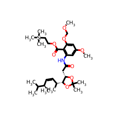 COCOc1cc(OC)cc(NC(=O)C[C@@H]2OC(C)(C)O[C@@H]2C(C)/C=C\[C@@H](C)C(C)C)c1C(=O)OCC[Si](C)(C)C